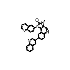 Cn1c(=O)n(-c2ccc3ncccc3c2)c2c3cc(-c4cnc5ccccc5c4)ccc3ncc21